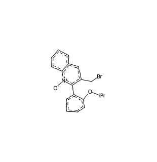 CC(C)Oc1ccccc1-c1c(CBr)cc2ccccc2[n+]1[O-]